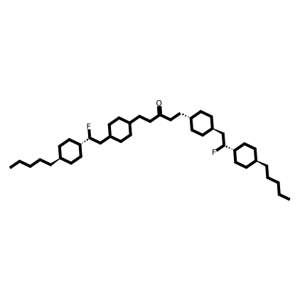 CCCCC[C@H]1CC[C@H](C(F)CC2CCC(CCC(=O)CC[C@H]3CC[C@H](CC(F)[C@H]4CC[C@H](CCCCC)CC4)CC3)CC2)CC1